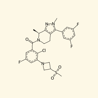 C[C@H]1c2nn(C)c(-c3cc(F)cc(F)c3)c2CCN1C(=O)c1cc(F)cc(N2CC(S(C)(=O)=O)C2)c1Cl